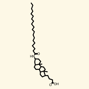 CCCCCCCCCCCCCCCCCCCC(=O)NC1CCC2(C)C(CCC3C4CCC(CCCC(=O)O)C4(C)CCC32)C1